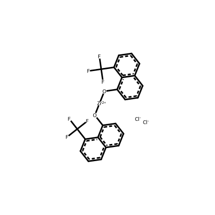 FC(F)(F)c1cccc2cccc([O][Zr+2][O]c3cccc4cccc(C(F)(F)F)c34)c12.[Cl-].[Cl-]